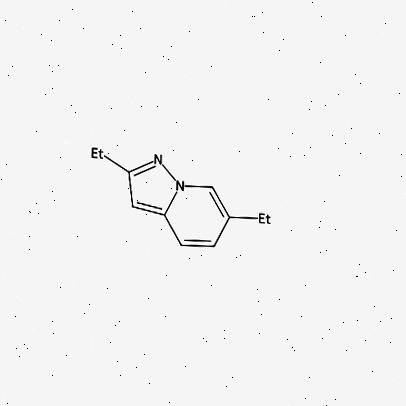 CCc1ccc2cc(CC)nn2c1